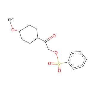 CCCOC1CCC(C(=O)COS(=O)(=O)c2ccccc2)CC1